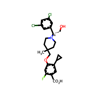 CC1(COc2cc(F)c(C(=O)O)cc2C2CC2)CCN([C@@H](CO)c2cc(Cl)cc(Cl)c2)CC1